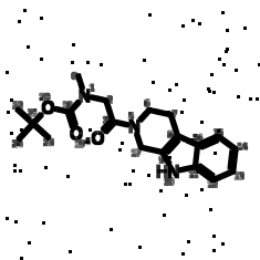 CN(CC(=O)N1CCc2c([nH]c3ccccc23)C1)C(=O)OC(C)(C)C